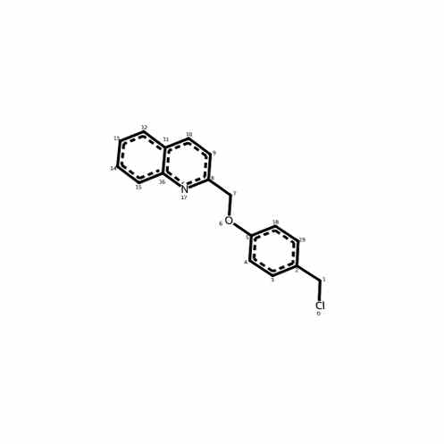 ClCc1ccc(OCc2ccc3ccccc3n2)cc1